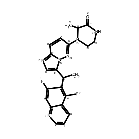 CC(c1c(F)cc2ncccc2c1F)c1cnc2ccc(N3CCNC(=O)C3C)nn12